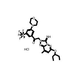 CCC(CC)Oc1cc(C)c2nn(CC(=O)c3cc(N4CCOCC4)cc(S(F)(F)(F)(F)F)c3)c(=N)n2n1.Cl